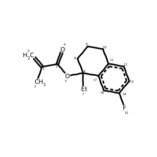 C=C(C)C(=O)OC1(CC)CCCc2ccc(F)cc21